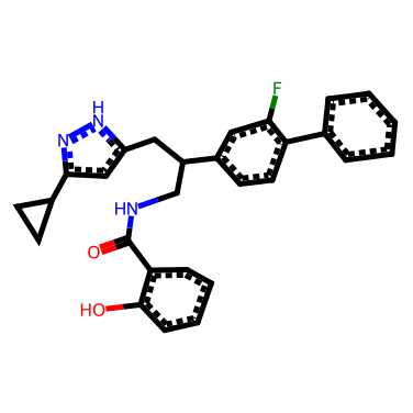 O=C(NCC(Cc1cc(C2CC2)n[nH]1)c1ccc(-c2ccccc2)c(F)c1)c1ccccc1O